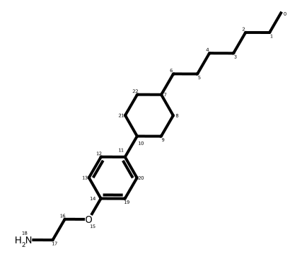 CCCCCCCC1CCC(c2ccc(OCCN)cc2)CC1